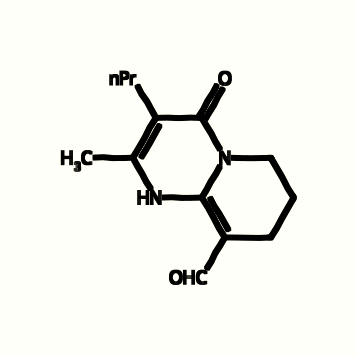 CCCC1=C(C)NC2=C(C=O)CCCN2C1=O